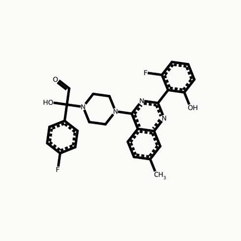 Cc1ccc2c(N3CCN(C(O)(C=O)c4ccc(F)cc4)CC3)nc(-c3c(O)cccc3F)nc2c1